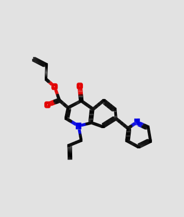 C=CCOC(=O)c1cn(CC=C)c2cc(-c3ccccn3)ccc2c1=O